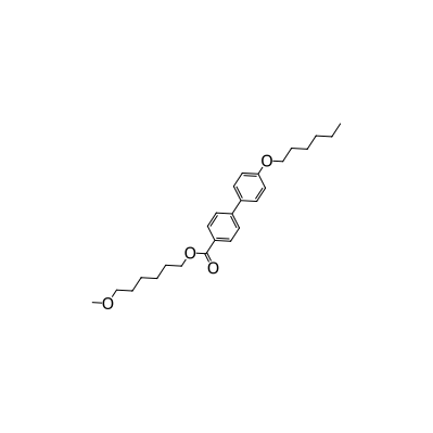 CCCCCCOc1ccc(-c2ccc(C(=O)OCCCCCCOC)cc2)cc1